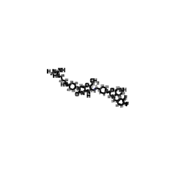 C=CC1=C(/C=C/C2CCN(C(=O)CN(Cc3ccc(F)c(F)c3)C3CCNCC3)CC2)Nc2nc(=O)n([C@H]3CC[C@H](NCCCNC(=N)N)CC3)cc2O1